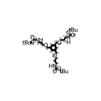 CC(C)(C)OC(=O)NCCCOCc1cc(COCCCNC(=O)OC(C)(C)C)cc(COCCCNC(=O)OC(C)(C)C)c1